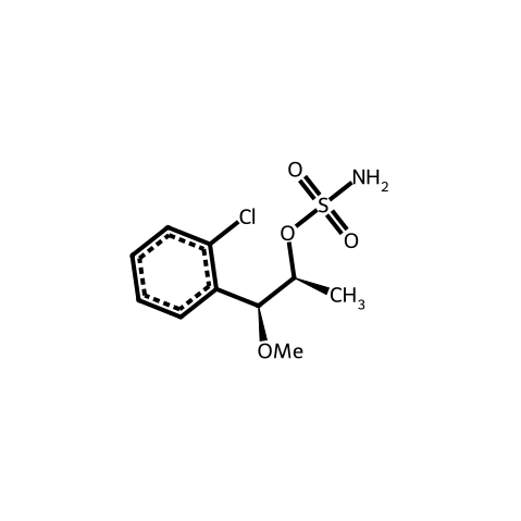 CO[C@@H](c1ccccc1Cl)[C@H](C)OS(N)(=O)=O